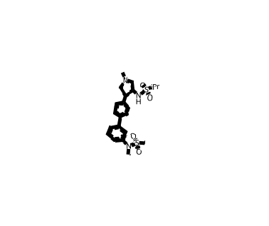 CC(C)S(=O)(=O)NC1CN(C)CC1c1ccc(-c2cccc(N(C)S(C)(=O)=O)c2)cc1